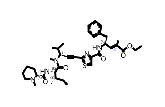 CCOC(=O)/C(C)=C/[C@H](Cc1ccccc1)NC(=O)c1csc(C#C[C@H](C(C)C)N(C)C(=O)[C@@H](NC(=O)[C@H]2CCCCN2C)[C@@H](C)CC)n1